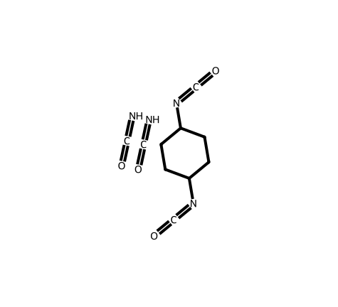 N=C=O.N=C=O.O=C=NC1CCC(N=C=O)CC1